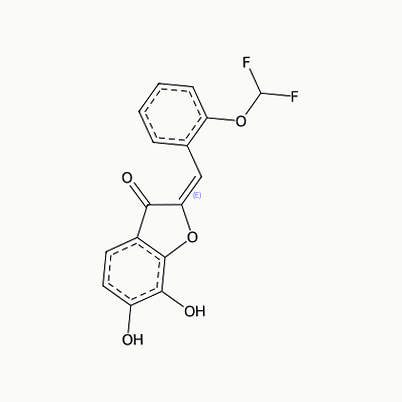 O=C1/C(=C\c2ccccc2OC(F)F)Oc2c1ccc(O)c2O